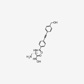 NC[C@H](NC(=O)c1ccc(C#Cc2ccc(CO)cc2)cc1)C(=O)NO